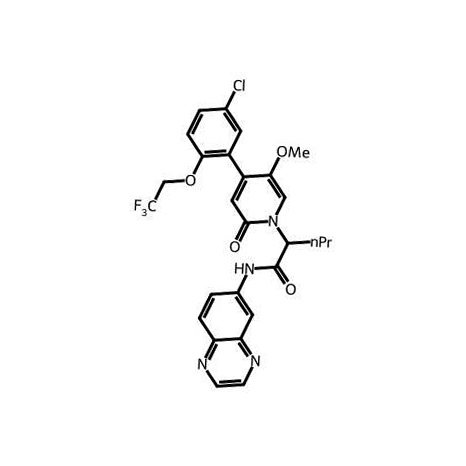 CCCC(C(=O)Nc1ccc2nccnc2c1)n1cc(OC)c(-c2cc(Cl)ccc2OCC(F)(F)F)cc1=O